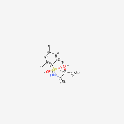 CCC(NS(=O)(=O)c1c(C)cc(C)cc1C)C(=O)OC